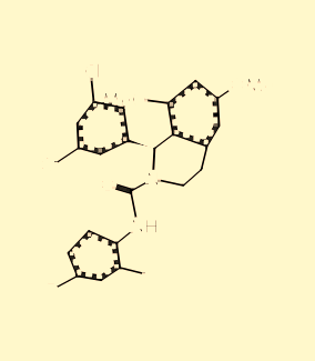 COc1cc2c(c(OC)c1)[C@H](c1cc(Cl)cc(Cl)c1)N(C(=O)Nc1ccc(F)cc1F)CC2